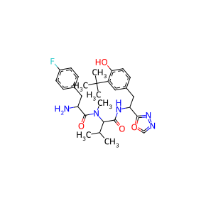 CC(C)C(C(=O)NC(Cc1ccc(O)c(C(C)(C)C)c1)c1nnco1)N(C)C(=O)C(N)Cc1ccc(F)cc1